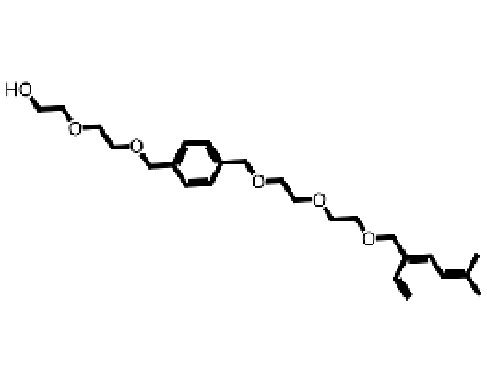 C=C/C(=C\C=C(C)C)COCCOCCOCc1ccc(COCCOCCO)cc1